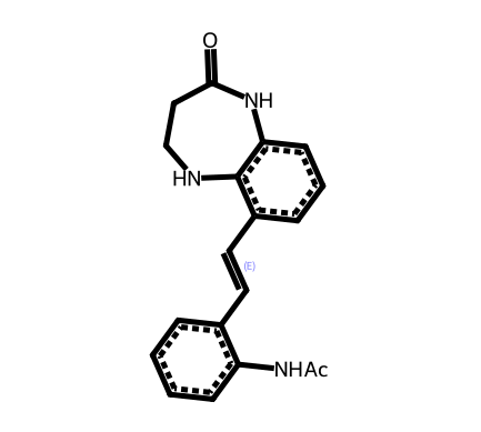 CC(=O)Nc1ccccc1/C=C/c1cccc2c1NCCC(=O)N2